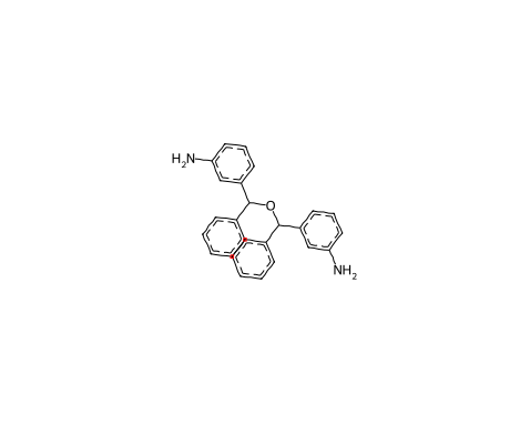 Nc1cccc(C(OC(c2ccccc2)c2cccc(N)c2)c2ccccc2)c1